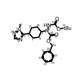 Cn1ncnc1C1CCC(N(NC(=O)OC(C)(C)C)C(=O)OCc2ccccc2)CC1